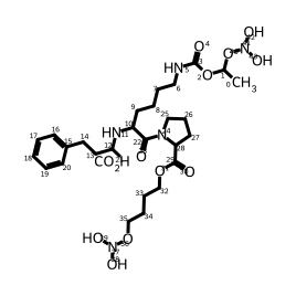 CC(OC(=O)NCCCCC(NC(CCc1ccccc1)C(=O)O)C(=O)N1CCCC1C(=O)OCCCCON(O)O)ON(O)O